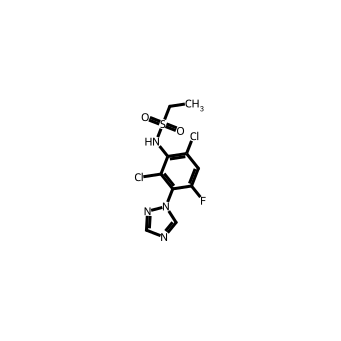 CCS(=O)(=O)Nc1c(Cl)cc(F)c(-n2cncn2)c1Cl